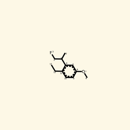 [CH2]C(CF)c1cc(OC)ccc1CC